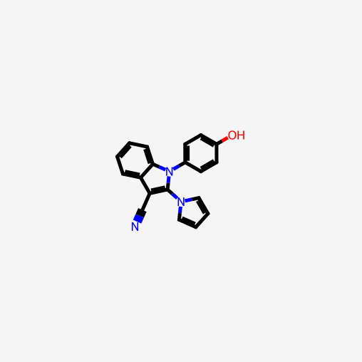 N#Cc1c(-n2cccc2)n(-c2ccc(O)cc2)c2ccccc12